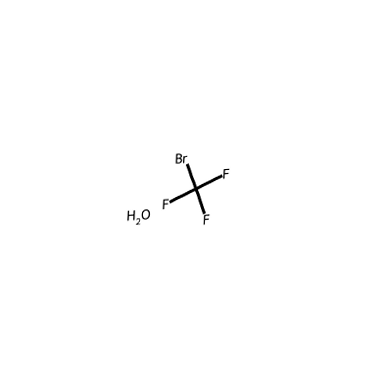 FC(F)(F)Br.O